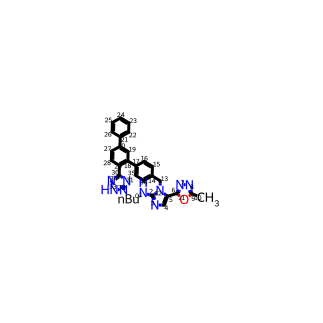 CCCCNc1ncc(-c2nnc(C)o2)n1Cc1ccc(-c2cc(-c3ccccc3)ccc2-c2nn[nH]n2)cc1